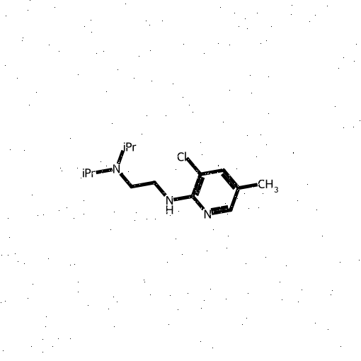 Cc1cnc(NCCN(C(C)C)C(C)C)c(Cl)c1